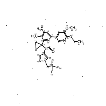 CCOc1ncc(-c2cc(C)c(C)c(C3(N(C=O)c4cnn(CC(F)(F)F)c4)CC3)n2)cc1OC